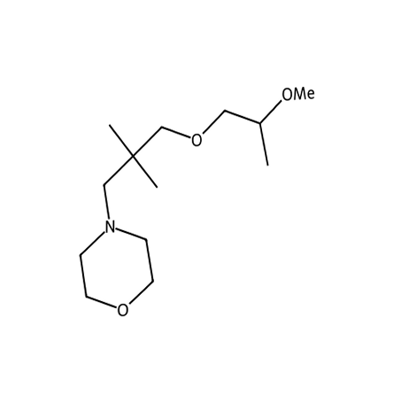 COC(C)COCC(C)(C)CN1CCOCC1